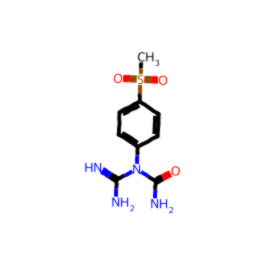 CS(=O)(=O)c1ccc(N(C(=N)N)C(N)=O)cc1